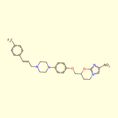 O=[N+]([O-])c1cn2c(n1)OC(COc1ccc(N3CCN(CC=Cc4ccc(C(F)(F)F)cc4)CC3)cc1)CC2